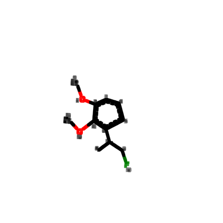 CCOc1cccc([C](C)CF)c1OCC